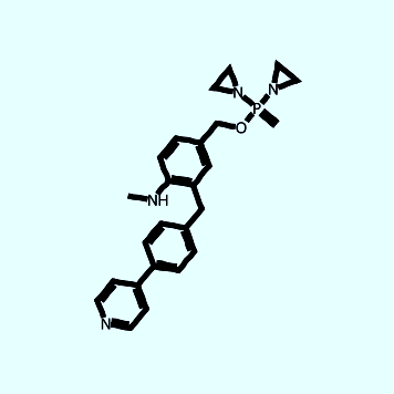 C=P(OCc1ccc(NC)c(Cc2ccc(-c3ccncc3)cc2)c1)(N1CC1)N1CC1